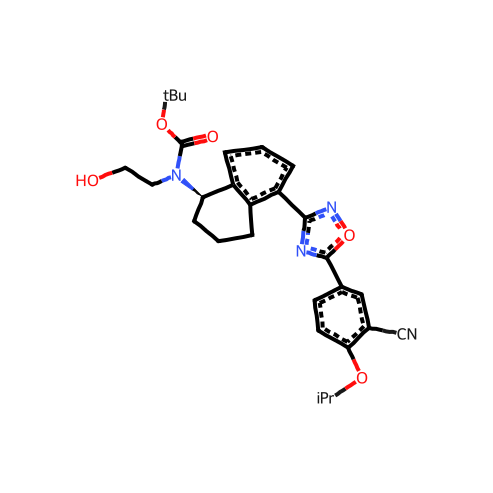 CC(C)Oc1ccc(-c2nc(-c3cccc4c3CCC[C@H]4N(CCO)C(=O)OC(C)(C)C)no2)cc1C#N